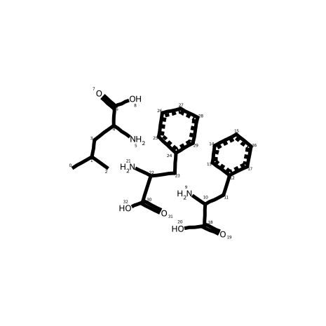 CC(C)CC(N)C(=O)O.NC(Cc1ccccc1)C(=O)O.NC(Cc1ccccc1)C(=O)O